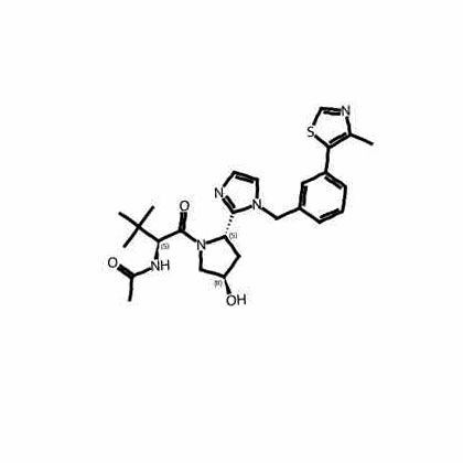 CC(=O)N[C@H](C(=O)N1C[C@H](O)C[C@H]1c1nccn1Cc1cccc(-c2scnc2C)c1)C(C)(C)C